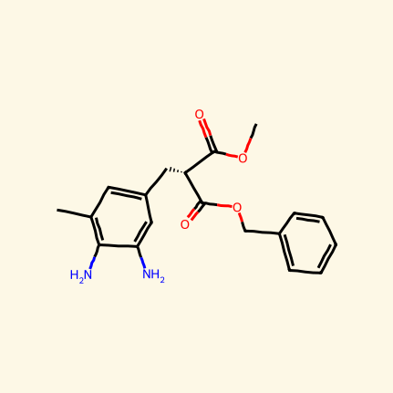 COC(=O)[C@@H](Cc1cc(C)c(N)c(N)c1)C(=O)OCc1ccccc1